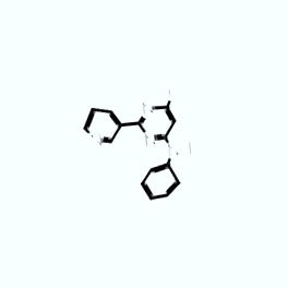 FC(F)(F)c1cc(Nc2ccccc2)nc(-c2cccnc2)n1